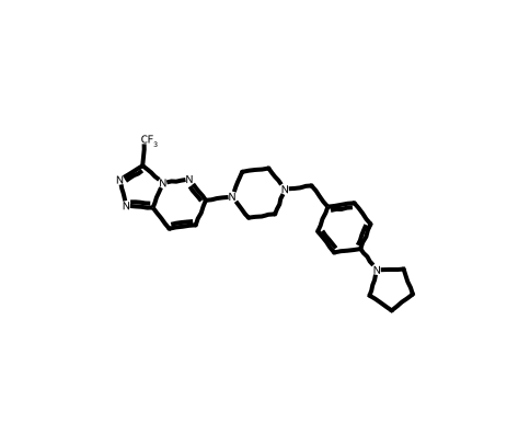 FC(F)(F)c1nnc2ccc(N3CCN(Cc4ccc(N5CCCC5)cc4)CC3)nn12